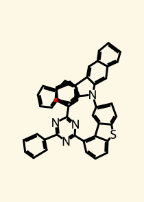 c1ccc(-c2nc(-c3ccccc3)nc(-c3cccc4sc5ccc(-n6c7cc8ccccc8cc7c7cc8ccccc8cc76)cc5c34)n2)cc1